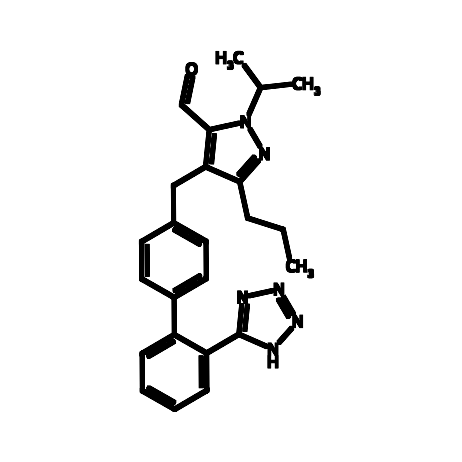 CCCc1nn(C(C)C)c(C=O)c1Cc1ccc(-c2ccccc2-c2nnn[nH]2)cc1